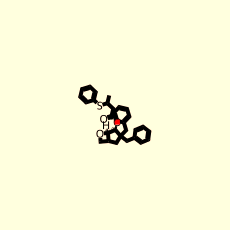 CC(CC(=O)O[C@@H]1[C@@H]2OCC2CC1(Cc1ccccc1)Cc1ccccc1)Sc1ccccc1